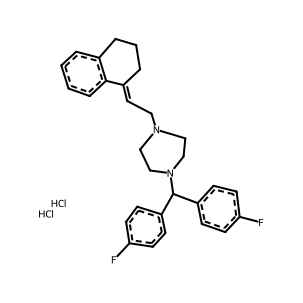 Cl.Cl.Fc1ccc(C(c2ccc(F)cc2)N2CCN(CC=C3CCCc4ccccc43)CC2)cc1